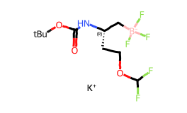 CC(C)(C)OC(=O)N[C@@H](CCOC(F)F)C[B-](F)(F)F.[K+]